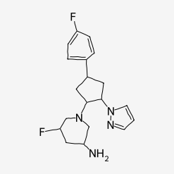 NC1CC(F)CN(C2CC(c3ccc(F)cc3)CC2n2cccn2)C1